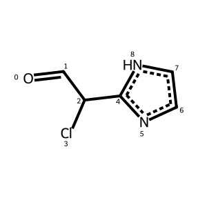 O=CC(Cl)c1ncc[nH]1